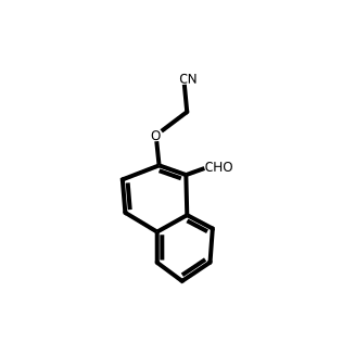 N#CCOc1ccc2ccccc2c1C=O